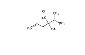 C=CC[N+](C)(C)C(C)N.[Cl-]